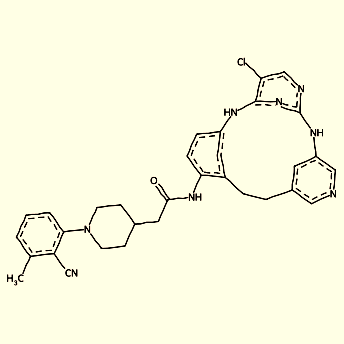 Cc1cccc(N2CCC(CC(=O)Nc3ccc4cc3CCc3cncc(c3)Nc3ncc(Cl)c(n3)N4)CC2)c1C#N